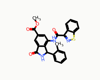 COC(=O)c1cc(NC(=O)c2nsc3ccccc23)c2c(c1)C(=O)NC2c1ccccc1C